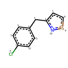 Clc1ccc(Cc2ccsn2)cc1